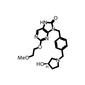 COCCOc1ncc2[nH]c(=O)n(Cc3ccc(CN4CC[C@@H](O)C4)cc3)c2n1